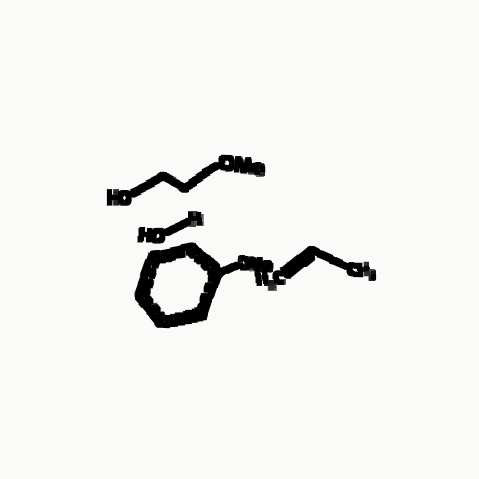 C=CC.CCO.COCCO.COc1ccccc1